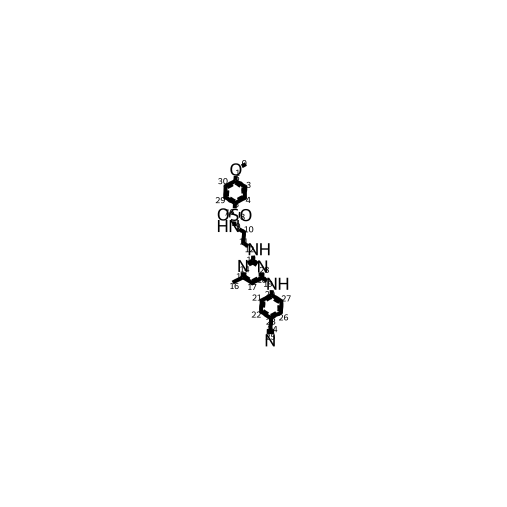 COc1ccc(S(=O)(=O)NCCNc2nc(C)cc(Nc3ccc(C#N)cc3)n2)cc1